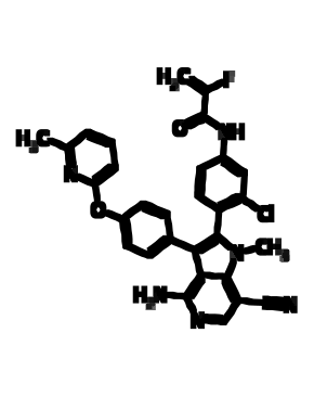 C=C(F)C(=O)Nc1ccc(-c2c(-c3ccc(Oc4cccc(C)n4)cc3)c3c(N)ncc(C#N)c3n2C)c(Cl)c1